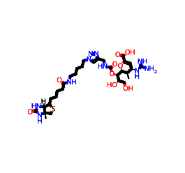 C[C@H]1[C@H]([C@H](OC(=O)NCc2cn(CCCCCNC(=O)CCCCC3SC[C@]4(C)NC(=O)N[C@H]34)nn2)[C@H](O)CO)OC(C(=O)O)=C[C@@H]1NC(=N)N